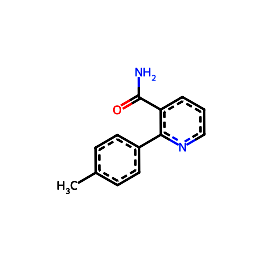 Cc1ccc(-c2ncccc2C(N)=O)cc1